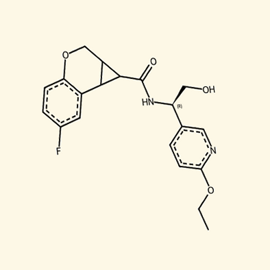 CCOc1ccc([C@H](CO)NC(=O)C2C3COc4ccc(F)cc4C32)cn1